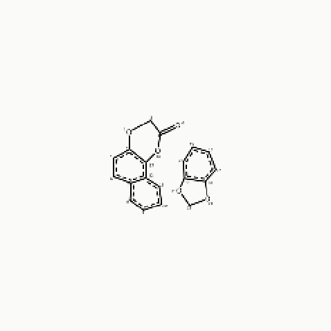 O=C1COc2ccc3ccccc3c2O1.c1ccc2c(c1)OCO2